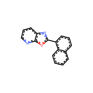 c1ccc2c(-c3nc4cccnc4o3)cccc2c1